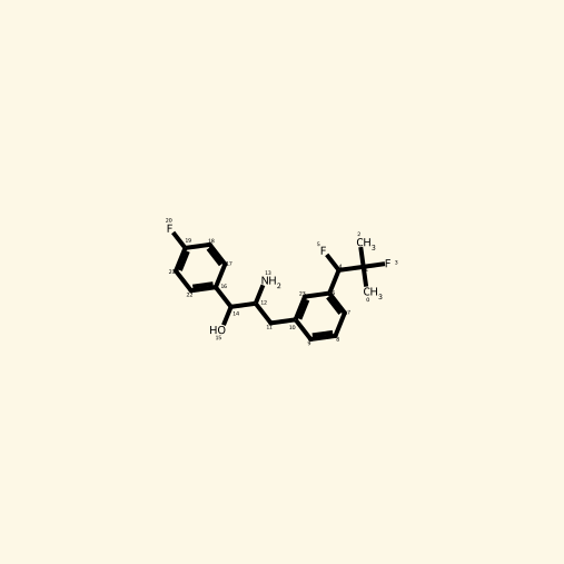 CC(C)(F)C(F)c1cccc(CC(N)C(O)c2ccc(F)cc2)c1